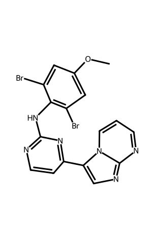 COc1cc(Br)c(Nc2nccc(-c3cnc4ncccn34)n2)c(Br)c1